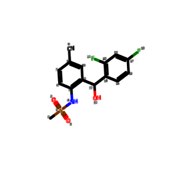 CS(=O)(=O)Nc1ccc(C#N)cc1C(O)c1ccc(F)cc1F